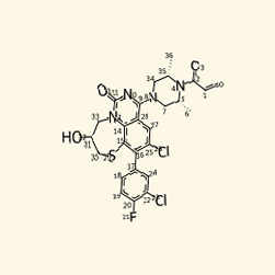 C=CC(=O)N1[C@H](C)CN(c2nc(=O)n3c4c(c(-c5ccc(F)c(Cl)c5)c(Cl)cc24)SCC(O)C3)C[C@@H]1C